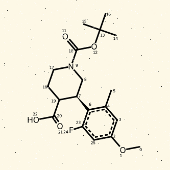 COc1cc(C)c([C@@H]2CN(C(=O)OC(C)(C)C)CCC2C(=O)O)c(F)c1